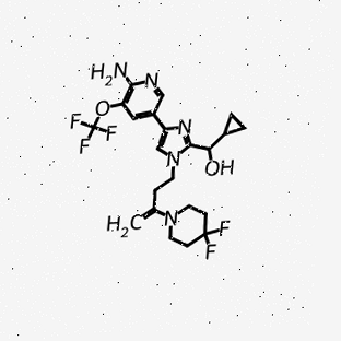 C=C(CCn1cc(-c2cnc(N)c(OC(F)(F)F)c2)nc1C(O)C1CC1)N1CCC(F)(F)CC1